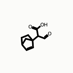 O=CC(C(=O)O)C12C=CC(CC1)C2